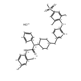 Cc1cc(S(C)(=O)=O)cc(C)c1Oc1ccc(CN2CCC(N(C(=O)Nc3ccc(F)cc3F)c3ccccc3)CC2)cn1.Cl